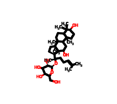 CC(C)=CCC[C@](C)(O[C@@H]1OC(CO)[C@@H](O)C(O)[C@@H]1O)[C@H]1CC[C@]2(C)C1[C@H](O)CC1[C@@]3(C)CC[C@H](O)C(C)(C)C3CC[C@]12C